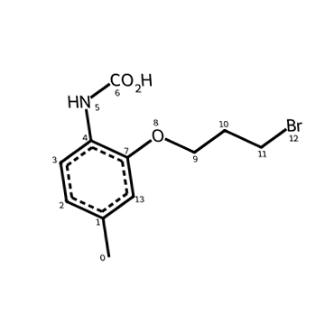 Cc1ccc(NC(=O)O)c(OCCCBr)c1